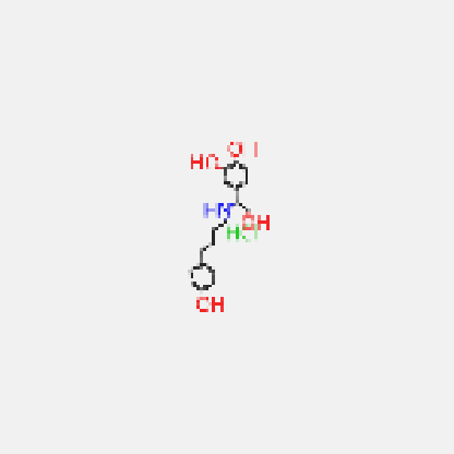 Cl.OCC(NCCCCc1ccc(O)cc1)c1ccc(O)c(O)c1